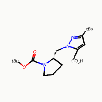 CC(C)(C)OC(=O)N1CCC[C@H]1Cn1nc(C(C)(C)C)cc1C(=O)O